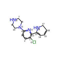 Clc1ccc(N2CCNCC2)nc1C1=CC=CCN1